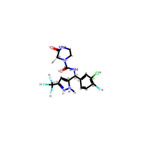 C[C@@H]1C(=O)NCCN1C(=O)N[C@@H](c1ccc(F)c(Cl)c1)c1cc(C(F)(F)F)nn1C